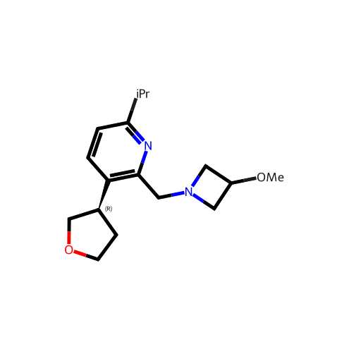 COC1CN(Cc2nc(C(C)C)ccc2[C@H]2CCOC2)C1